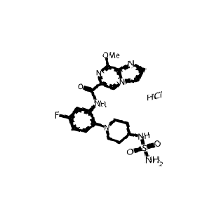 COc1nc(C(=O)Nc2cc(F)ccc2N2CCC(NS(N)(=O)=O)CC2)cn2ccnc12.Cl